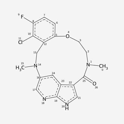 CN1CCOc2ccc(F)c(Cl)c2CN(C)c2cnc3[nH]cc(c3c2)C1=O